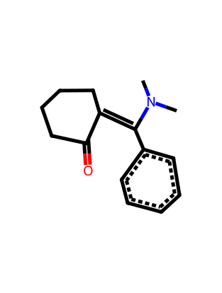 CN(C)C(=C1CCCCC1=O)c1ccccc1